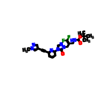 Cn1cc(C#Cc2cccc(-n3cnn(CC(CNC(=O)OC(C)(C)C)=C(F)F)c3=O)n2)cn1